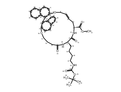 COC(=O)[C@@H]1C/C=C/COc2ccc3ccccc3c2-c2c(ccc3ccccc23)OCCCC(=O)N[C@H](CCCCNC(=O)OC(C)(C)C)C(=O)N1